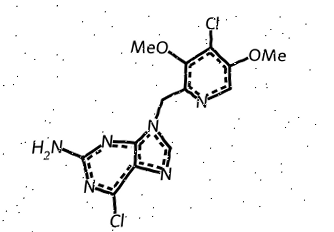 COc1cnc(Cn2cnc3c(Cl)nc(N)nc32)c(OC)c1Cl